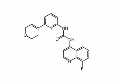 O=C(Nc1cccc(C2=CCOCC2)n1)Nc1ccnc2c(F)cccc12